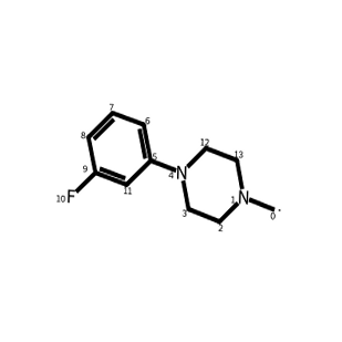 [CH2]N1CCN(c2cccc(F)c2)CC1